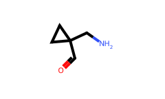 NCC1(C=O)CC1